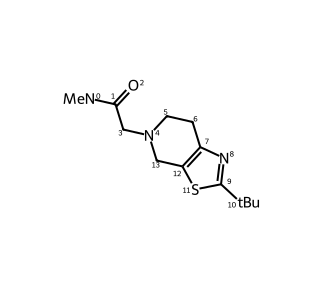 CNC(=O)CN1CCc2nc(C(C)(C)C)sc2C1